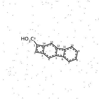 O=C(O)c1cc2cc3c4ccccc4c3cc12